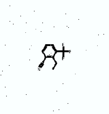 CCc1c(C#N)cccc1C(F)(F)F